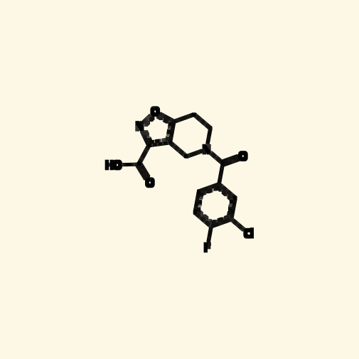 O=C(O)c1noc2c1CN(C(=O)c1ccc(F)c(Cl)c1)CC2